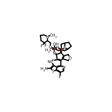 CC(O)CN1CC2CCC(C1)N2c1nc(OCC2N(C)CCCC2(F)F)nc2c(F)c(-c3ncc(F)c4sc(N)c(C#N)c34)c3c(c12)COC3